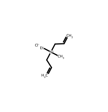 C=CC[N+](C)(CC)CC=C.[Cl-]